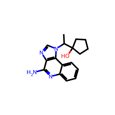 CC(n1cnc2c(N)nc3ccccc3c21)C1(O)CCCC1